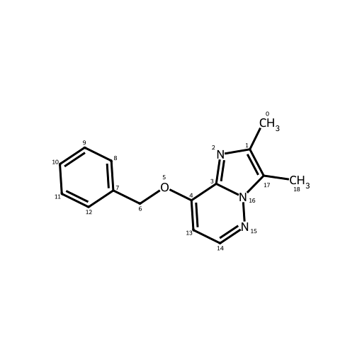 Cc1nc2c(OCc3ccccc3)ccnn2c1C